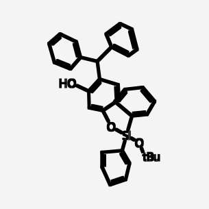 CC(C)(C)O[Si](Oc1ccc(C(c2ccccc2)c2ccccc2)c(O)c1)(c1ccccc1)c1ccccc1